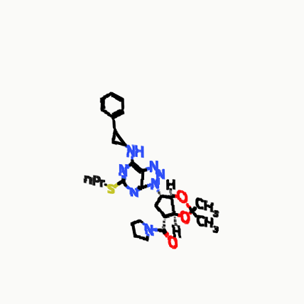 CCCSc1nc(NC2CC2c2ccccc2)c2nnn([C@H]3C[C@@H](C(=O)N4CCCC4)[C@@H]4OC(C)(C)O[C@@H]43)c2n1